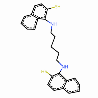 Sc1ccc2ccccc2c1NCCCCCNc1c(S)ccc2ccccc12